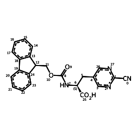 N#Cc1ncc(C[C@H](NC(=O)OCC2c3ccccc3-c3ccccc32)C(=O)O)cn1